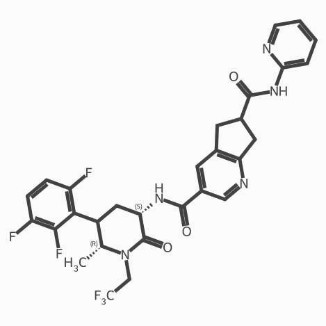 C[C@@H]1C(c2c(F)ccc(F)c2F)C[C@H](NC(=O)c2cnc3c(c2)CC(C(=O)Nc2ccccn2)C3)C(=O)N1CC(F)(F)F